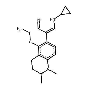 CC1CCc2c(ccc(/C(C=N)=C/NC3CC3)c2OCC(F)(F)F)N1C